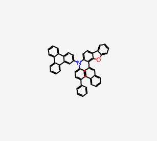 c1ccc(-c2ccc(N(c3ccc4c5ccccc5c5ccccc5c4c3)c3ccc4c(oc5ccccc54)c3-c3ccc4ccccc4c3)cc2)cc1